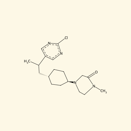 CC(C[C@H]1CC[C@H](N2CCN(C)C(=O)C2)CC1)c1cnc(Cl)nc1